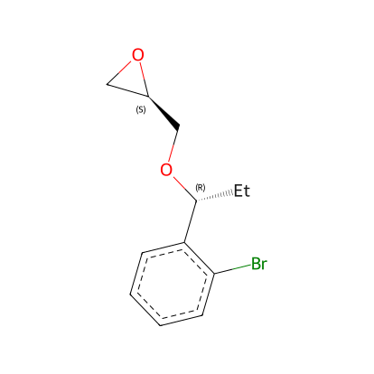 CC[C@@H](OC[C@H]1CO1)c1ccccc1Br